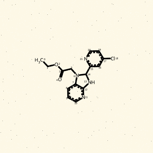 CCOC(=O)CN1c2cccnc2NC1c1cc(Cl)ccn1